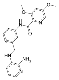 COc1cnc(C(=O)Nc2ccnc(CNc3cccnc3N)c2)c(OC)c1